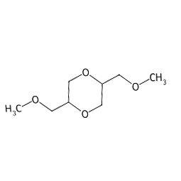 COCC1COC(COC)CO1